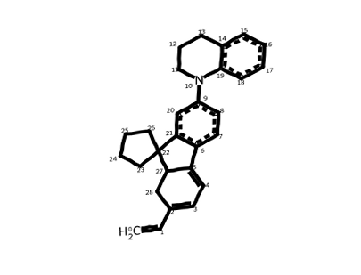 C=CC1=CC=C2c3ccc(N4CCCc5ccccc54)cc3C3(CCCC3)C2C1